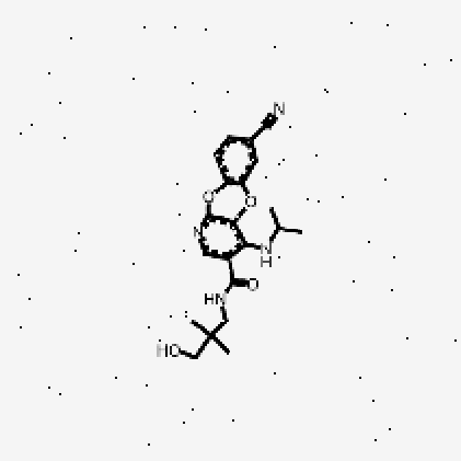 CC(C)Nc1c(C(=O)NCC(C)(C)CO)cnc2c1Oc1cc(C#N)ccc1O2